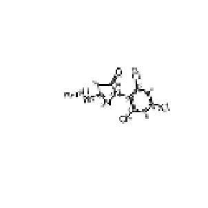 CCCNC1=NN(c2c(Cl)cc(Cl)cc2Cl)C(=O)C1